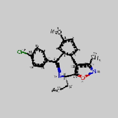 COc1ccc2c(c1)C(c1ccc(Cl)cc1)=N[C@@H](CC(C)=O)c1onc(C)c1-2